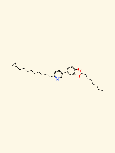 CCCCCCCC1Oc2ccc(-c3ccc(CCCCCCCCCC4CC4)nc3)cc2O1